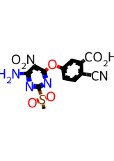 CS(=O)(=O)c1nc(N)c([N+](=O)[O-])c(Oc2ccc(C#N)c(C(=O)O)c2)n1